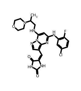 CC(CNc1cc(Nc2cc(Cl)ccc2F)nc2c(/C=C3/NC(=O)NC3=O)cnn12)N1CCOCC1